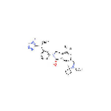 COC(c1cccc(N2Cc3c(cc(CN(C(=O)O)C4(C)CCC4)cc3C(F)(F)F)C2=O)c1)c1nncn1C